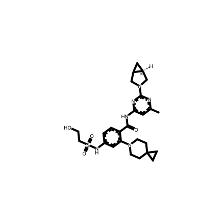 Cc1cc(NC(=O)c2ccc(NS(=O)(=O)CCO)cc2N2CCC3(CC2)CC3)nc(N2CC3C[C@H]3C2)n1